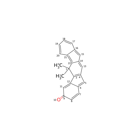 CC1(C)C2=C(C=C3C=CC(=O)C=C32)C=C2C=c3ccccc3=C21